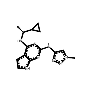 C[C@H](Nc1nc(Nc2cn(C)nn2)nc2[nH]ccc12)C1CC1